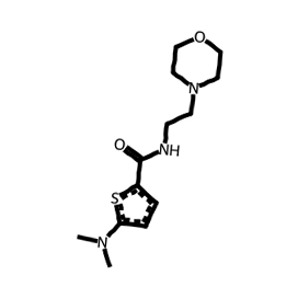 CN(C)c1ccc(C(=O)NCCN2CCOCC2)s1